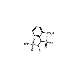 CCCS(=O)(=O)C(CC)N(c1ccccc1C(=O)O)S(=O)(=O)F